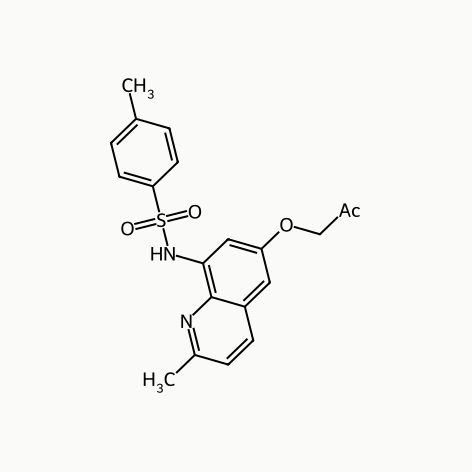 CC(=O)COc1cc(NS(=O)(=O)c2ccc(C)cc2)c2nc(C)ccc2c1